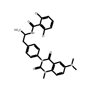 CN(C)c1ccc2c(c1)c(=O)n(-c1ccc(CC(NC(=O)c3c(Cl)cccc3Cl)C(=O)O)cc1)c(=O)n2C